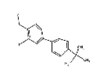 CC(C)(C)c1ccc(-c2ccc(CCl)c(F)c2)cc1